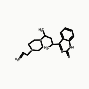 C=CCN1CCN(C(C)CC(C)c2nc(=O)[nH]c3ccccc23)CC1